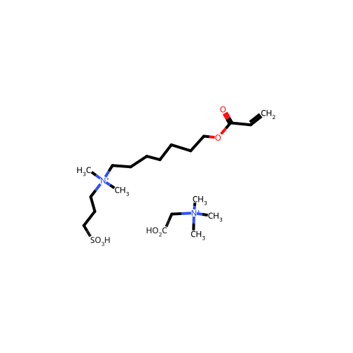 C=CC(=O)OCCCCCCC[N+](C)(C)CCCS(=O)(=O)O.C[N+](C)(C)CC(=O)O